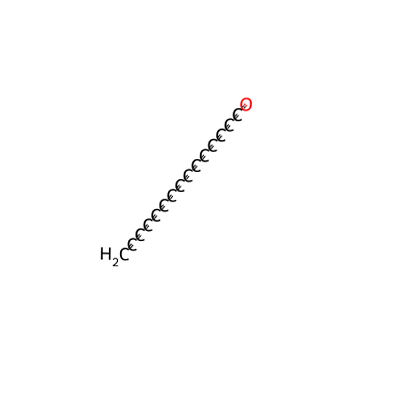 C=C=C=C=C=C=C=C=C=C=C=C=C=C=C=O